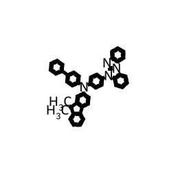 CC1(C)c2ccccc2-c2ccc(N(c3ccc(-c4ccccc4)cc3)c3ccc(-n4c5ccccc5n5c6ccccc6nc45)cc3)cc21